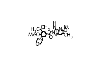 C=C(C)c1cc(C(=O)Cn2nc3cc(C)c(OCC)nn3c2=N)cc(N2CCOCC2)c1OC